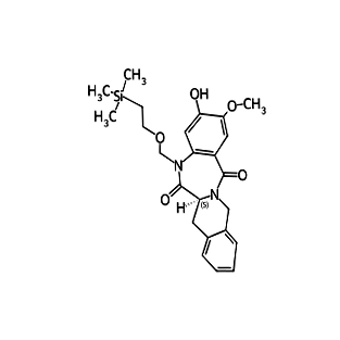 COc1cc2c(cc1O)N(COCC[Si](C)(C)C)C(=O)[C@@H]1Cc3ccccc3CN1C2=O